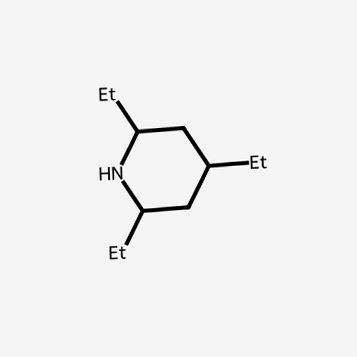 CCC1CC(CC)NC(CC)C1